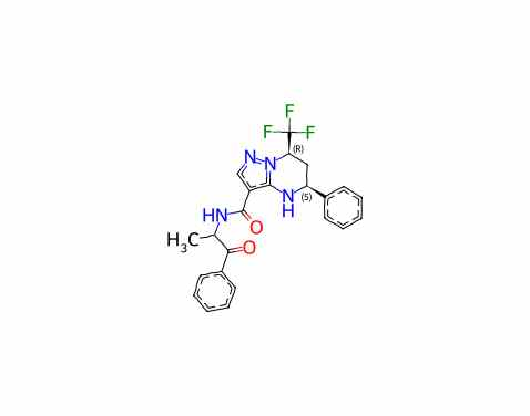 CC(NC(=O)c1cnn2c1N[C@H](c1ccccc1)C[C@@H]2C(F)(F)F)C(=O)c1ccccc1